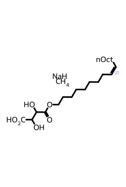 C.CCCCCCCC/C=C\CCCCCCCCOC(=O)C(O)C(O)C(=O)O.[NaH]